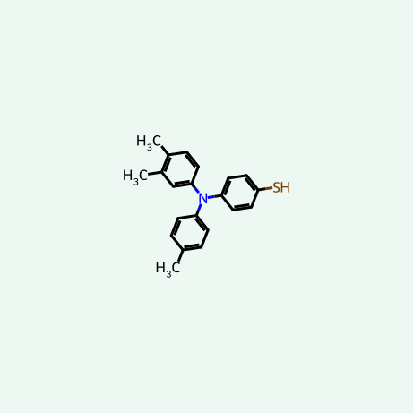 Cc1ccc(N(c2ccc(S)cc2)c2ccc(C)c(C)c2)cc1